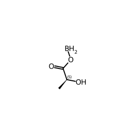 BOC(=O)[C@H](C)O